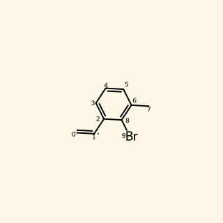 C=[C]c1cccc(C)c1Br